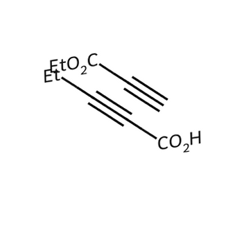 C#CC(=O)OCC.CCC#CC(=O)O